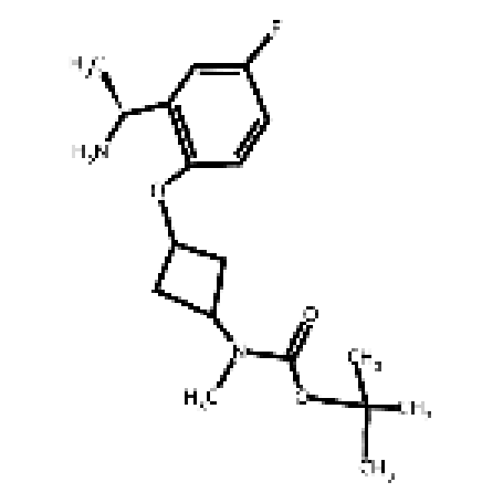 C[C@H](N)c1cc(F)ccc1OC1CC(N(C)C(=O)OC(C)(C)C)C1